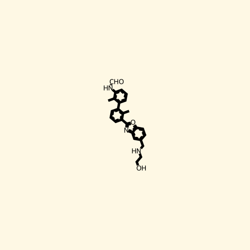 Cc1c(NC=O)cccc1-c1cccc(-c2nc3cc(CNCCO)ccc3o2)c1C